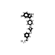 COc1cccc(OC2CN([C@H]3CC[C@H](c4c[nH]c5ccc(F)cc54)CC3)C2)c1